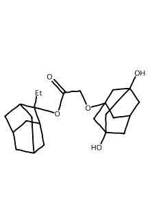 CCC1(OC(=O)COC23CC4CC(O)(CC(O)(C4)C2)C3)C2CC3CC(C2)CC1C3